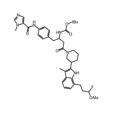 COC(F)CCc1cccc2c(C)c(C3CCCN(C(=O)CC(Cc4ccc(NC(=O)c5cncn5C)cc4)NC(=O)OC(C)(C)C)C3)[nH]c12